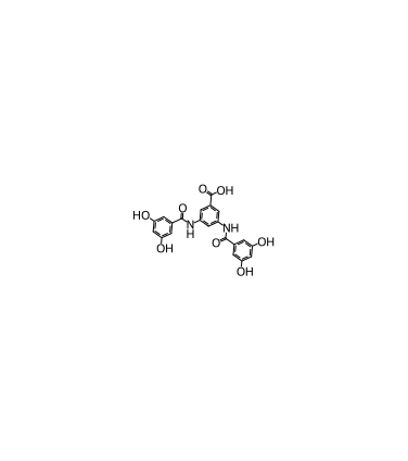 O=C(O)c1cc(NC(=O)c2cc(O)cc(O)c2)cc(NC(=O)c2cc(O)cc(O)c2)c1